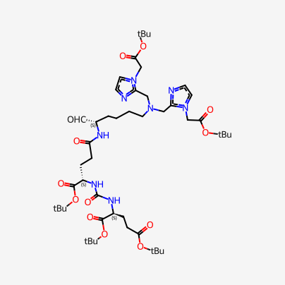 CC(C)(C)OC(=O)CC[C@H](NC(=O)N[C@@H](CCC(=O)N[C@H](C=O)CCCCN(Cc1nccn1CC(=O)OC(C)(C)C)Cc1nccn1CC(=O)OC(C)(C)C)C(=O)OC(C)(C)C)C(=O)OC(C)(C)C